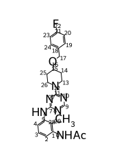 CC(=O)Nc1cccc(Nc2ncnc(N3CCC(OCc4ccc(F)cc4)CC3)n2)c1C